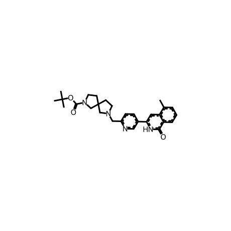 Cc1cccc2c(=O)[nH]c(-c3ccc(CN4CCC5(CCN(C(=O)OC(C)(C)C)C5)C4)nc3)cc12